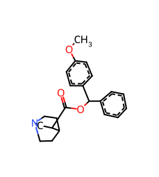 COc1ccc(C(OC(=O)C2CN3CCC2CC3)c2ccccc2)cc1